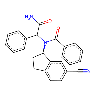 N#Cc1ccc2c(c1)[C@H](N(C(=O)c1ccccc1)C(C(N)=O)c1ccccc1)CC2